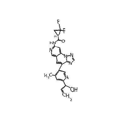 C=CC(O)c1cc(C)c(-c2cc3cnc(NC(=O)[C@H]4CC4(F)F)cc3n3ncnc23)cn1